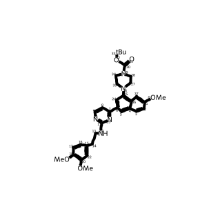 COc1ccc2cc(-c3ccnc(NCCc4ccc(OC)c(OC)c4)n3)cc(N3CCN(C(=O)OC(C)(C)C)CC3)c2c1